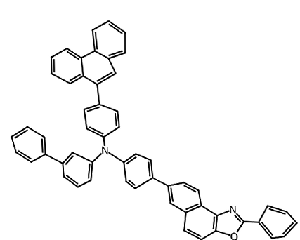 c1ccc(-c2cccc(N(c3ccc(-c4ccc5c(ccc6oc(-c7ccccc7)nc65)c4)cc3)c3ccc(-c4cc5ccccc5c5ccccc45)cc3)c2)cc1